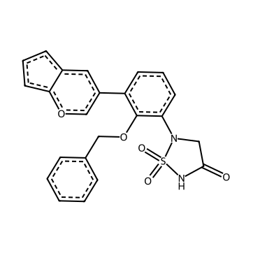 O=C1CN(c2cccc(-c3coc4cccc-4c3)c2OCc2ccccc2)S(=O)(=O)N1